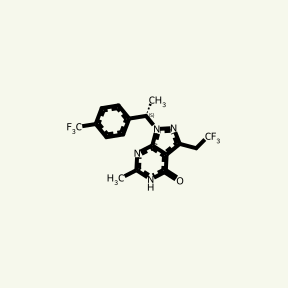 Cc1nc2c(c(CC(F)(F)F)nn2[C@@H](C)c2ccc(C(F)(F)F)cc2)c(=O)[nH]1